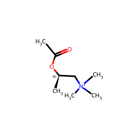 CC(=O)O[C@H](C)C[N+](C)(C)C